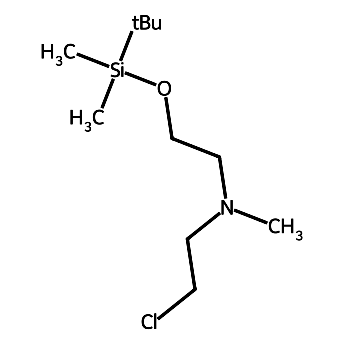 CN(CCCl)CCO[Si](C)(C)C(C)(C)C